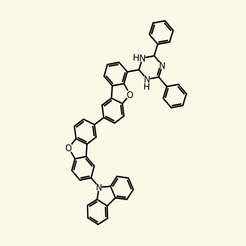 c1ccc(C2=NC(c3ccccc3)NC(c3cccc4c3oc3ccc(-c5ccc6oc7ccc(-n8c9ccccc9c9ccccc98)cc7c6c5)cc34)N2)cc1